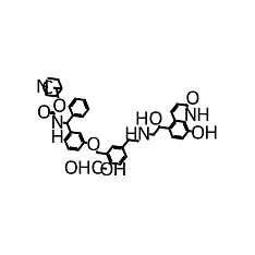 O=C(NC(c1ccccc1)c1cccc(OCc2cccc(CCNCC(O)c3ccc(O)c4[nH]c(=O)ccc34)c2)c1)OC1CN2CCC1CC2.O=CO